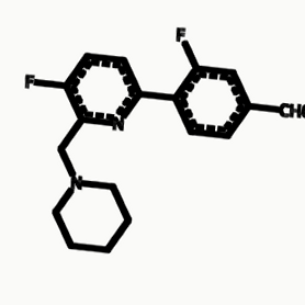 O=Cc1ccc(-c2ccc(F)c(CN3CCCCC3)n2)c(F)c1